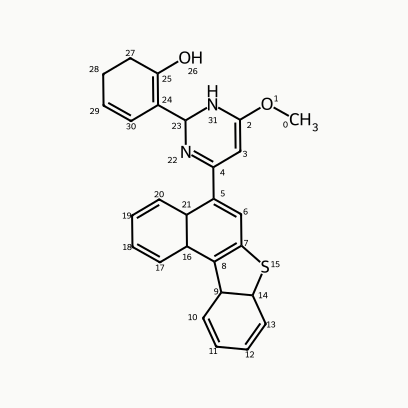 COC1=CC(C2=CC3=C(C4C=CC=CC4S3)C3C=CC=CC23)=NC(C2=C(O)CCC=C2)N1